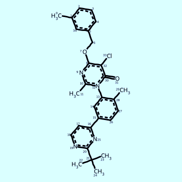 Cc1cccc(COc2nc(C)n(-c3cc(-c4ccnc(C(C)(C)C)n4)ccc3C)c(=O)c2Cl)c1